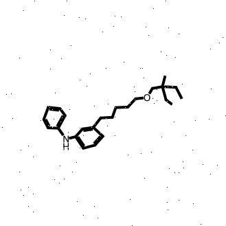 CCC(C)(CC)COCCCCCc1cccc(Nc2ccccc2)c1